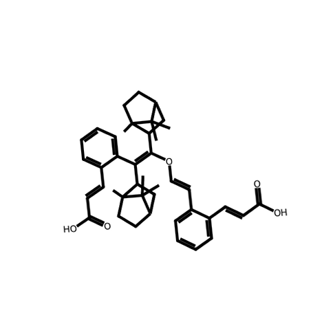 CC1(C)C2CCC1(C)C(C(OC=Cc1ccccc1C=CC(=O)O)=C(c1ccccc1C=CC(=O)O)C1CC3CCC1(C)C3(C)C)C2